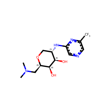 CN(C)C[C@H]1OC[C@H](Nc2cncc(C(F)(F)F)n2)[C@@H](O)[C@H]1O